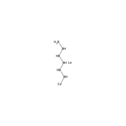 BBBBB[BH][Ce].[La]